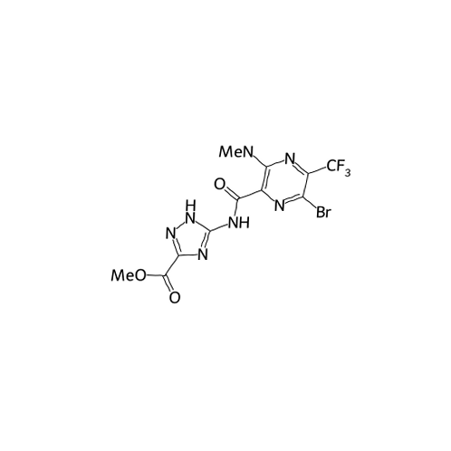 CNc1nc(C(F)(F)F)c(Br)nc1C(=O)Nc1nc(C(=O)OC)n[nH]1